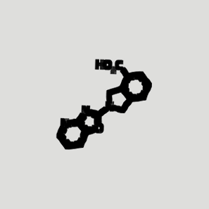 O=C(O)c1cccc2c1CN(c1nc3ncccc3o1)C2